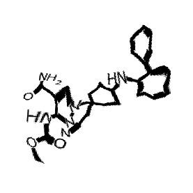 COC(=O)Nc1nn(C2(CC#N)CCC(Nc3ccccc3-c3ccccc3)CC2)cc1C(N)=O